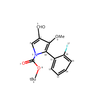 COc1c(C=O)cn(C(=O)OC(C)(C)C)c1-c1ccccc1F